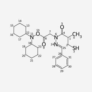 CC(CS)C(=O)N(CC(=O)ON(C1CCCCC1)C1CCCCC1)N=Cc1ccccc1